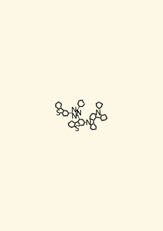 c1ccc(-c2nc(-c3ccc4sc5ccccc5c4c3)nc(-c3cc(-n4c5ccccc5c5c6c7ccccc7n(-c7ccccc7)c6ccc54)cc4sc5ccccc5c34)n2)cc1